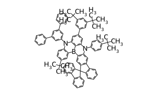 CC(C)(C)c1ccc(N2c3cc4c(cc3B3c5cc(C(C)(C)C)ccc5N(c5cc(-c6ccccc6)cc(-c6ccccc6)c5)c5cc(-c6cc(C(C)(C)C)cc(C(C)(C)C)c6)cc2c53)C2(c3ccccc3-c3ccccc32)c2ccccc2-4)cc1